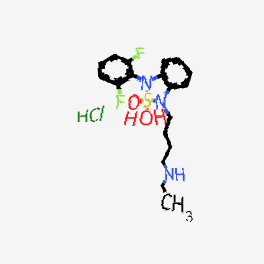 CCNCCCCN1c2ccccc2N(c2c(F)cccc2F)S1(O)O.Cl